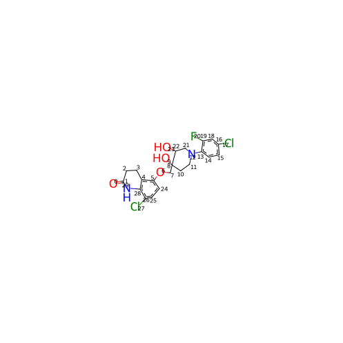 O=C1CCc2c(OCC3(O)CCN(c4ccc(Cl)cc4F)CC3O)ccc(Cl)c2N1